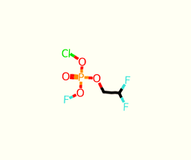 O=P(OF)(OCl)OCC(F)F